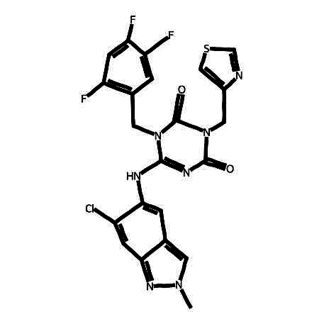 Cn1cc2cc(Nc3nc(=O)n(Cc4cscn4)c(=O)n3Cc3cc(F)c(F)cc3F)c(Cl)cc2n1